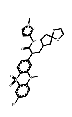 CN1c2cc(C(CC3CCC4(C3)OCCO4)C(=O)Nc3ccn(C)n3)ccc2S(=O)(=O)c2cc(Br)ccc21